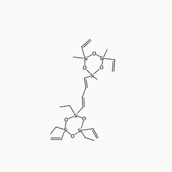 C=C[Si]1(C)O[Si](C)(C=C)O[Si](C)(/C=C/C=C/[Si]2(CC)O[Si](C=C)(CC)O[Si](C=C)(CC)O2)O1